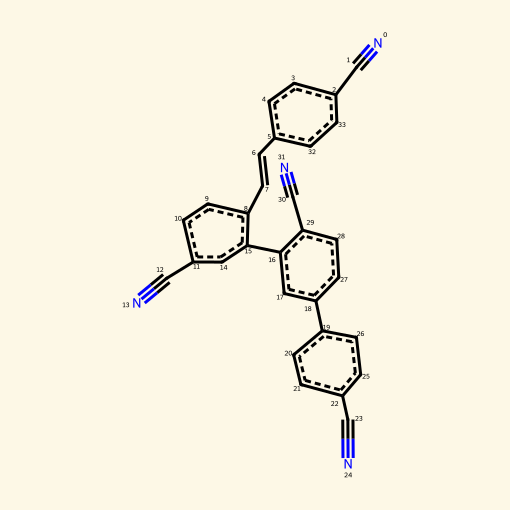 N#Cc1ccc(/C=C/c2ccc(C#N)cc2-c2cc(-c3ccc(C#N)cc3)ccc2C#N)cc1